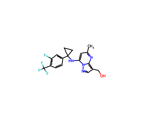 Cc1cc(NC2(c3ccc(C(F)(F)F)c(F)c3)CC2)n2ncc(CO)c2n1